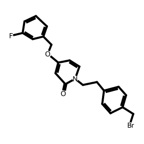 O=c1cc(OCc2cccc(F)c2)ccn1CCc1ccc(CBr)cc1